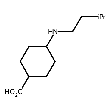 CC(C)CCNC1CCC(C(=O)O)CC1